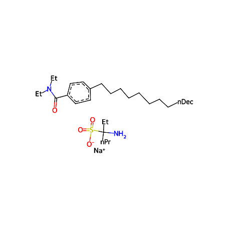 CCCC(N)(CC)S(=O)(=O)[O-].CCCCCCCCCCCCCCCCCCc1ccc(C(=O)N(CC)CC)cc1.[Na+]